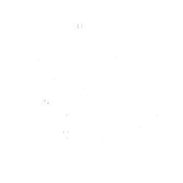 C#Cc1c(-c2ccccc2)ccc2c1C(=O)NC2=O.Oc1ccccc1